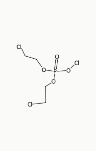 O=P(OCl)(OCCCl)OCCCl